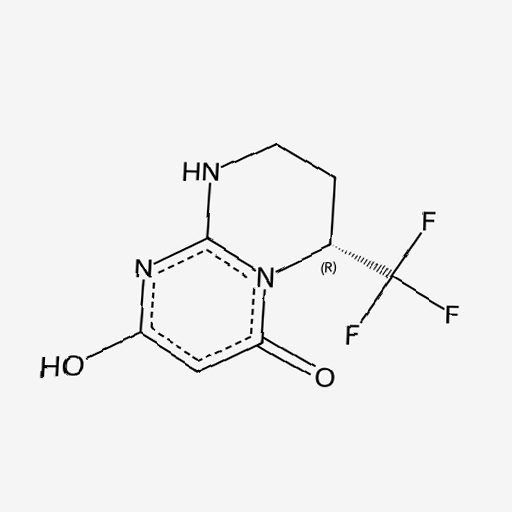 O=c1cc(O)nc2n1[C@@H](C(F)(F)F)CCN2